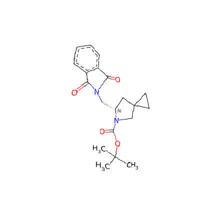 CC(C)(C)OC(=O)N1CC2(CC2)C[C@H]1CN1C(=O)c2ccccc2C1=O